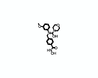 COc1cccc(N(Cc2ccc(C(=O)NO)cc2)C(O)N2CCOCC2)c1